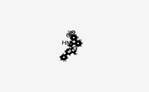 CC(C)C1CC(c2ccccc2)CCN1C(=O)[C@@H]1CNC[C@H]1c1ccccc1-c1ccc(S(C)(=O)=O)cc1